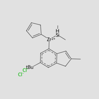 CC1=Cc2c(cc(C(C)(C)C)c[c]2[Zr+2]([C]2=CC=CC2)[SiH](C)C)C1.[Cl-].[Cl-]